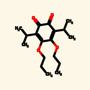 CCCOC1=C(C(C)C)C(=O)C(=O)C(C(C)C)=C1OCCC